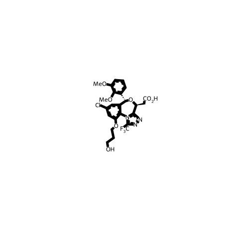 COc1cccc([C@@H]2O[C@@H](CC(=O)O)c3nnc(C(F)(F)F)n3-c3c(OCCCO)cc(Cl)cc32)c1OC